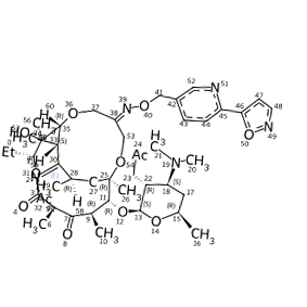 CC[C@H]1OC(=O)[C@H](C)C(=O)[C@H](C)[C@@H](O[C@@H]2O[C@H](C)C[C@H](N(C)C)[C@H]2CC(C)=O)[C@@]2(C)C[C@@H](C)/C(=N\C(C)=O)[C@H](C)[C@@H](OCC(=NOCc3ccc(-c4ccno4)nc3)CO2)[C@]1(C)O